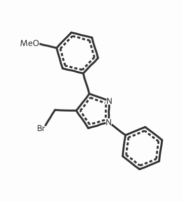 COc1cccc(-c2nn(-c3ccccc3)cc2CBr)c1